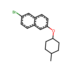 CC1CCC(Oc2ccc3cc(Br)ccc3c2)CC1